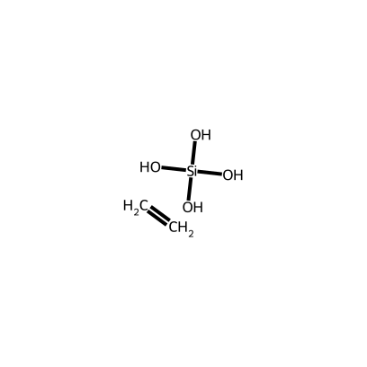 C=C.O[Si](O)(O)O